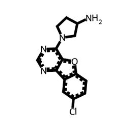 NC1CCN(c2ncnc3c2oc2ccc(Cl)cc23)C1